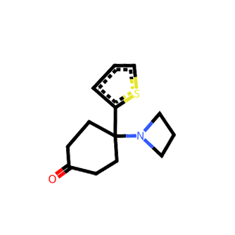 O=C1CCC(c2cccs2)(N2CCC2)CC1